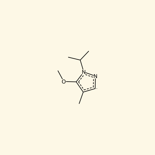 COc1c(C)[c]nn1C(C)C